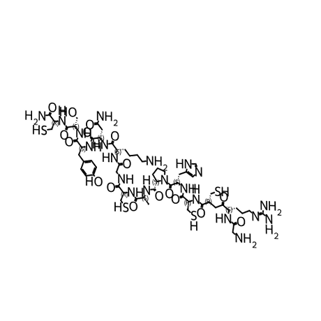 C[C@H](NC(=O)[C@@H]1CCCN1C(=O)[C@H](Cc1cnc[nH]1)NC(=O)[C@H](CS)NC(=O)[C@H](CS)CC(=O)[C@H](CCCN=C(N)N)NC(=O)CN)C(=O)N[C@@H](CS)C(=O)NCC(=O)N[C@@H](CCCCN)C(=O)N[C@@H](CC(N)=O)C(=O)N[C@@H](Cc1ccc(O)cc1)C(=O)N[C@@H](CO)C(=O)N[C@@H](CS)C(N)=O